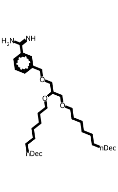 CCCCCCCCCCCCCCCCOCC(COCc1cccc(C(=N)N)c1)OCCCCCCCCCCCCCCCC